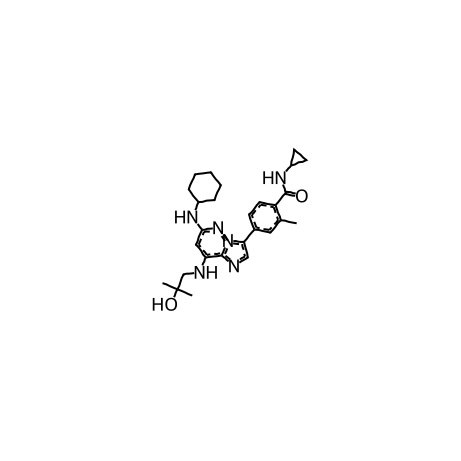 Cc1cc(-c2cnc3c(NCC(C)(C)O)cc(NC4CCCCC4)nn23)ccc1C(=O)NC1CC1